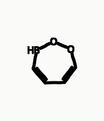 B1C=CC=COO1